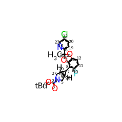 CC(C)(C)OC(=O)N1C[C@@H]2C(c3c(F)ccc4c3OC(C)(c3ccc(Cl)cn3)O4)[C@@H]2C1